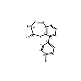 O=C1Cc2c(cccc2-c2ccc(F)cc2)C=CN1